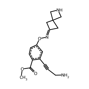 COC(=O)c1ccc(ON=C2CC3(CNC3)C2)cc1C#CCN